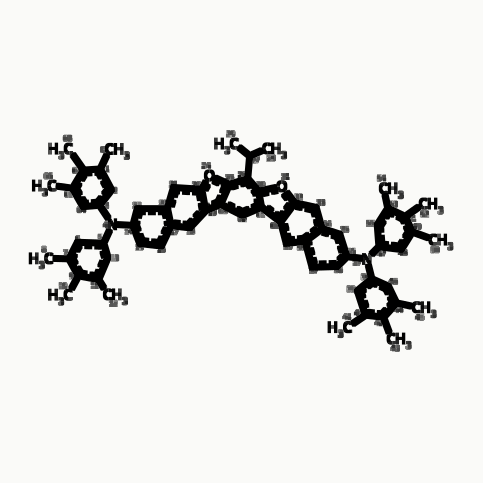 Cc1cc(N(c2cc(C)c(C)c(C)c2)c2ccc3cc4c(cc3c2)oc2c(C(C)C)c3oc5cc6cc(N(c7cc(C)c(C)c(C)c7)c7cc(C)c(C)c(C)c7)ccc6cc5c3cc24)cc(C)c1C